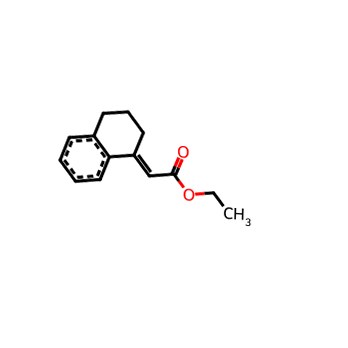 CCOC(=O)C=C1CCCc2ccccc21